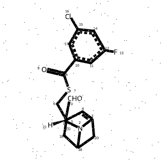 O=CCN1C2=C[C@@H](CSC(=O)c3cc(F)cc(Cl)c3)CC1C2